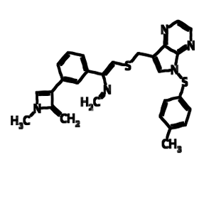 C=N/C(=C\SCc1cn(Sc2ccc(C)cc2)c2nccnc12)c1cccc(C2=CN(C)C2=C)c1